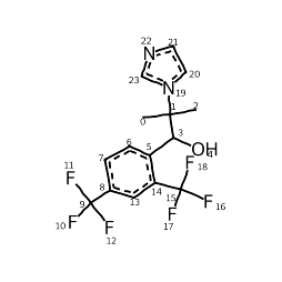 CC(C)(C(O)c1ccc(C(F)(F)F)cc1C(F)(F)F)n1ccnc1